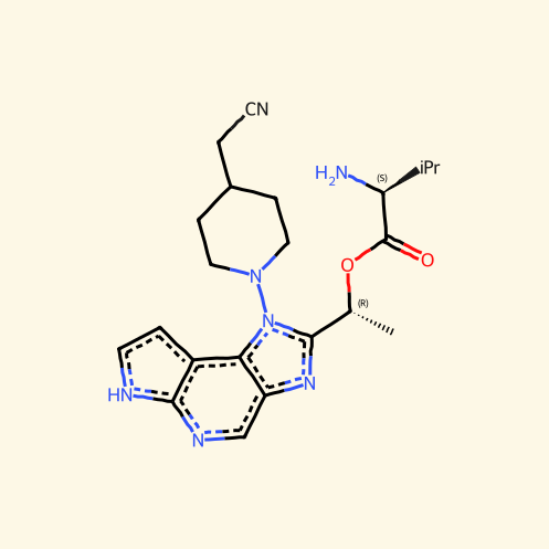 CC(C)[C@H](N)C(=O)O[C@H](C)c1nc2cnc3[nH]ccc3c2n1N1CCC(CC#N)CC1